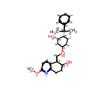 COc1ccc2c(n1)CCC(O)C2CO[C@@H]1CC[C@@H](C(C)(C)c2ccccc2)[C@H](O)C1